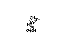 CCC(=O)CCCCC[C@H](NC(=O)CC1CCN(C)CC1)c1ncc(-c2cc3ccccc3nc2O)[nH]1